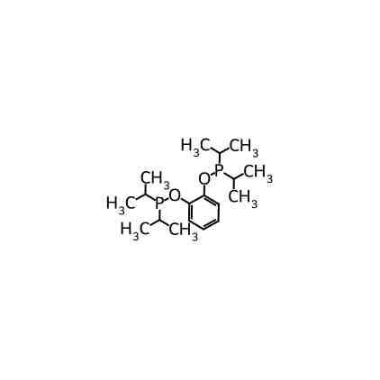 CC(C)P(Oc1ccccc1OP(C(C)C)C(C)C)C(C)C